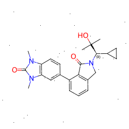 Cn1c(=O)n(C)c2cc(-c3cccc4c3C(=O)N([C@H](C3CC3)C(C)(C)O)C4)ccc21